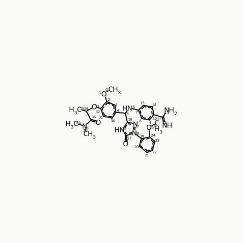 COc1cc(C(Nc2ccc(C(=N)N)cc2)c2nn(-c3ccccc3OC)c(=O)[nH]2)ccc1OC(C)C(=O)N(C)C